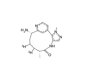 [2H]C1C[C@H](N)c2cc(ccn2)-c2c(cnn2C)NC(=O)[C@H](C)C1[2H]